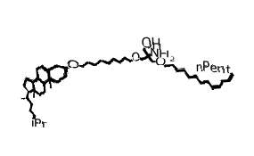 CCCCC/C=C\C/C=C\CCCCCCCCOCC(N)(CO)COCCCCCCCCCOC1CC[C@@]2(C)C(=CCC3C2CC[C@@]2(C)C3CC[C@@H]2[C@H](C)CCCC(C)C)C1